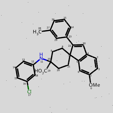 COc1ccc2c(c1)C1(CCC(Nc3cccc(Cl)c3)(C(=O)O)CC1)C(c1cccc(C)c1)=C2